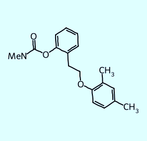 CNC(=O)Oc1ccccc1CCOc1ccc(C)cc1C